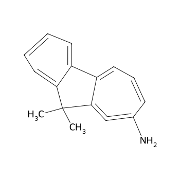 CC1(C)C2=C=C(N)C=CC=C2c2ccccc21